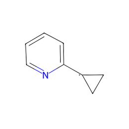 c1ccc([C]2CC2)nc1